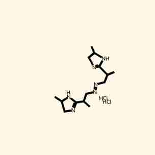 CC1CN=C(C(C)CN=NCC(C)C2=NCC(C)N2)N1.Cl.Cl